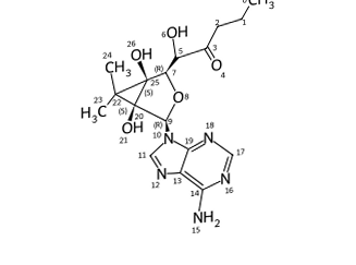 CCCC(=O)C(O)[C@H]1O[C@@H](n2cnc3c(N)ncnc32)[C@]2(O)C(C)(C)[C@]12O